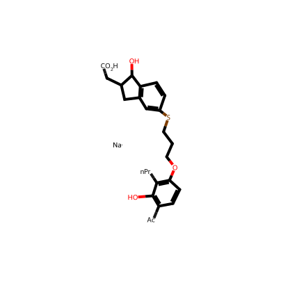 CCCc1c(OCCCSc2ccc3c(c2)CC(CC(=O)O)C3O)ccc(C(C)=O)c1O.[Na]